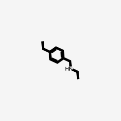 CCNCc1ccc(CC)cc1